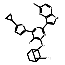 O=C(O)C1C2CCC(CC2)C1Nc1nc(-c2c[nH]c3ncc(Cl)nc23)nc(-c2ccc(C3CC3)s2)c1F